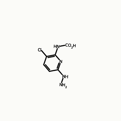 NNc1ccc(Cl)c(NC(=O)O)n1